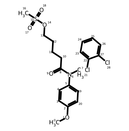 COc1ccc(N(C)C(=O)CCCCOS(C)(=O)=O)cc1.Clc1ccccc1Cl